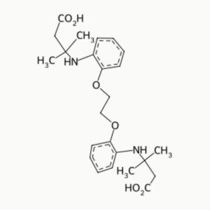 CC(C)(CC(=O)O)Nc1ccccc1OCCOc1ccccc1NC(C)(C)CC(=O)O